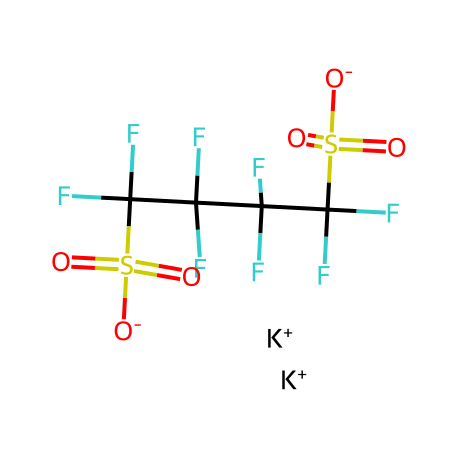 O=S(=O)([O-])C(F)(F)C(F)(F)C(F)(F)C(F)(F)S(=O)(=O)[O-].[K+].[K+]